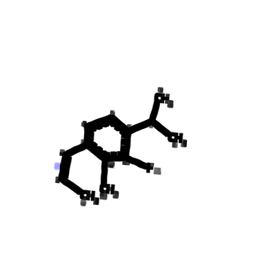 C/C=C\c1ccc(C(C)C)c(F)c1C